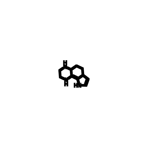 C1=CC2CCC3NCCNC3=C2N1